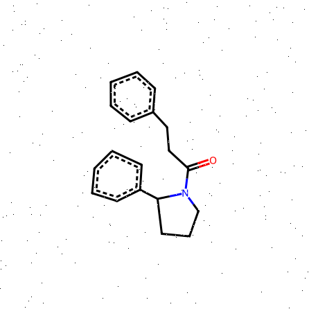 O=C(CCc1ccccc1)N1CCCC1c1ccccc1